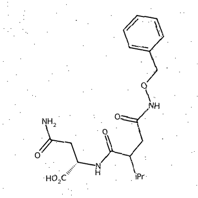 CC(C)C(CC(=O)NOCc1ccccc1)C(=O)N[C@@H](CC(N)=O)C(=O)O